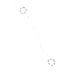 Cc1ccc(OCCOCCOCCOCCOCCOc2ccc(C)cc2)cc1